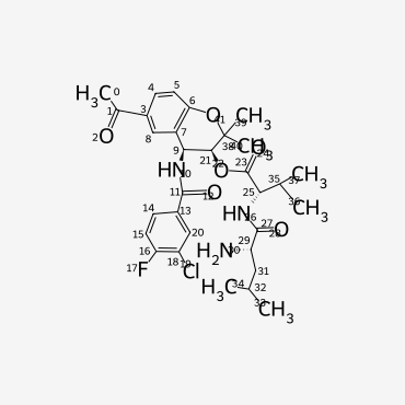 CC(=O)c1ccc2c(c1)[C@H](NC(=O)c1ccc(F)c(Cl)c1)[C@H](OC(=O)[C@@H](NC(=O)[C@@H](N)CC(C)C)C(C)C)C(C)(C)O2